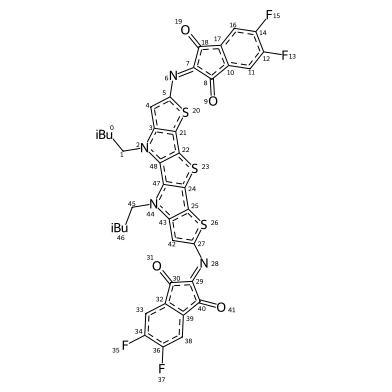 CCC(C)Cn1c2cc(N=c3c(=O)c4cc(F)c(F)cc4c3=O)sc2c2sc3c4sc(N=c5c(=O)c6cc(F)c(F)cc6c5=O)cc4n(CC(C)CC)c3c21